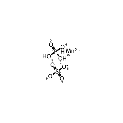 O=P(O)(O)O.O=S(=O)([O-])[O-].[Mn+2]